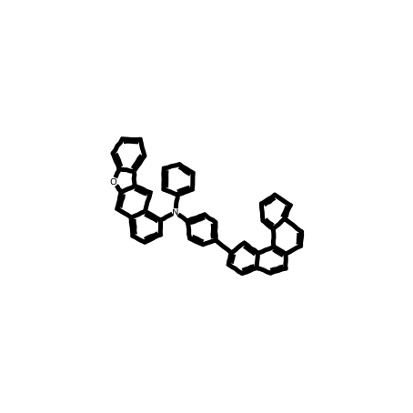 c1ccc(N(c2ccc(-c3ccc4ccc5ccc6ccccc6c5c4c3)cc2)c2cccc3cc4oc5ccccc5c4cc23)cc1